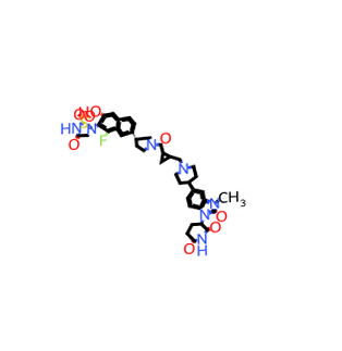 Cn1c(=O)n(C2CCC(=O)NC2=O)c2ccc(C3CCN(CC4CC4C(=O)N4CC[C@H](c5ccc6cc(O)c(N7CC(=O)NS7(=O)=O)c(F)c6c5)C4)CC3)cc21